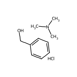 CN(C)C.Cl.OCc1ccccc1